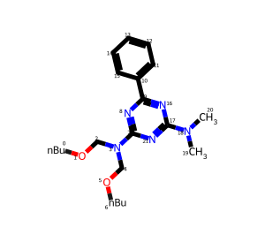 CCCCOCN(COCCCC)c1nc(-c2ccccc2)nc(N(C)C)n1